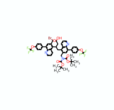 CC(C)(C)OC(=O)N(Cc1cc(-c2ccc(OC(F)(F)F)cc2)c2ncccc2c1C[C](CC(=O)O)c1c(CBr)cc(-c2ccc(OC(F)(F)F)cc2)c2ncccc12)C(=O)OC(C)(C)C